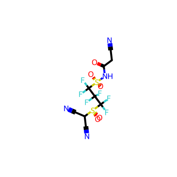 N#CCC(=O)NS(=O)(=O)C(F)(F)C(F)(F)C(F)(F)S(=O)(=O)C(C#N)C#N